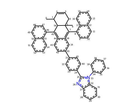 CC1C=CCC2(C)C(c3cccc4ccccc34)=c3cc(-c4ccc(-c5nc6ccccc6n5-c5ccccc5)cc4)ccc3=C(c3cccc4ccccc34)C12